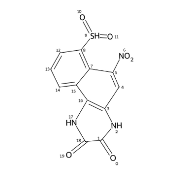 O=c1[nH]c2cc([N+](=O)[O-])c3c([SH](=O)=O)cccc3c2[nH]c1=O